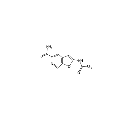 NC(=O)c1cc2cc(NC(=O)C(F)(F)F)oc2cn1